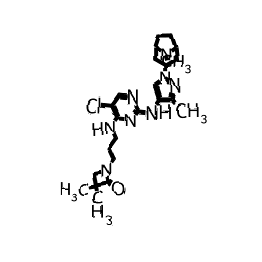 Cc1nn(C2CC3CCC(C2)N3C)cc1Nc1ncc(Cl)c(NCCCN2CC(C)(C)C2=O)n1